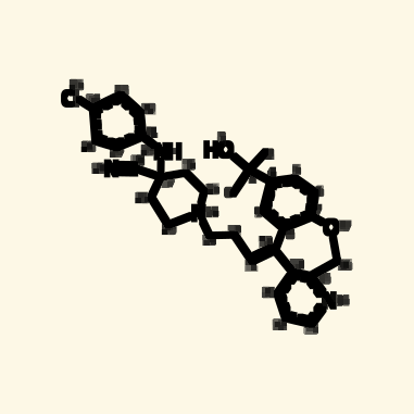 CC(C)(O)c1ccc2c(c1)C(=CCCN1CCC(C#N)(Nc3ccc(Cl)cc3)CC1)c1cccnc1CO2